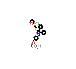 O=C(O)COC[C@H]1CC[C@H](Cn2nc(SCCOC3CCCCO3)c(-c3cccc(Cl)c3)c2-c2ccccc2)CC1